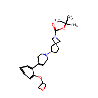 CC(C)(C)OC(=O)N1CC2(CC[C@@H](N3CCC(c4ccccc4OC4COC4)CC3)C2)C1